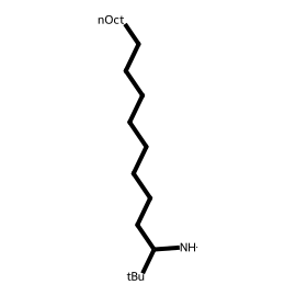 CCCCCCCCCCCCCCCCC([NH])C(C)(C)C